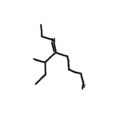 CC/N=C(/CCCF)C(C)CC